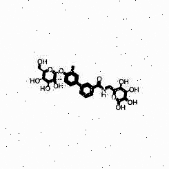 Cc1cc(-c2cccc(C(=O)NCC3OC(O)C(O)[C@@H](O)[C@@H]3O)c2)ccc1O[C@H]1O[C@H](CO)[C@@H](O)[C@H](O)[C@]1(C)O